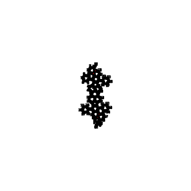 Fc1ccc(-c2ccccc2-c2c3c(c(-c4ccccc4)c4ccccc24)-c2ccc4c5ccc6c7c(ccc(c8ccc-3c2c48)c75)-c2c-6c(-c3ccccc3-c3ccc(C(F)(F)F)cc3)c3ccccc3c2-c2ccccc2)cc1